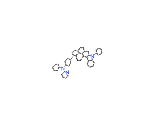 c1ccc(N(c2ccc(-c3ccc4ccc5cc6c(c7ccc3c4c57)c3ccccc3n6-c3ccccc3)cc2)c2ccccn2)cc1